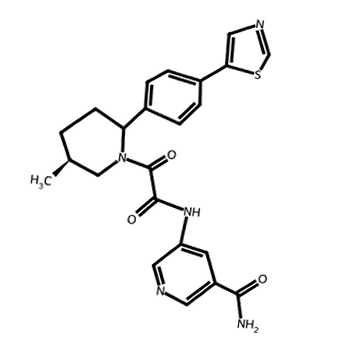 C[C@H]1CCC(c2ccc(-c3cncs3)cc2)N(C(=O)C(=O)Nc2cncc(C(N)=O)c2)C1